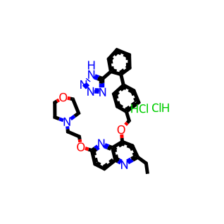 CCc1cc(OCc2ccc(-c3ccccc3-c3nnn[nH]3)cc2)c2nc(OCCN3CCOCC3)ccc2n1.Cl.Cl